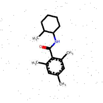 Cc1cc(C)c(C(=O)NC2CCCCC2C)c(C)c1